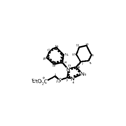 CCOC(=O)CSc1nnc(C2CCCCC2)n1-c1ccccc1